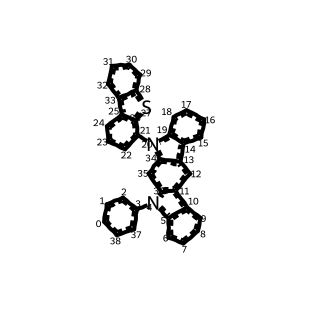 c1ccc(-n2c3ccccc3c3cc4c5ccccc5n(-c5cccc6c5sc5ccccc56)c4cc32)cc1